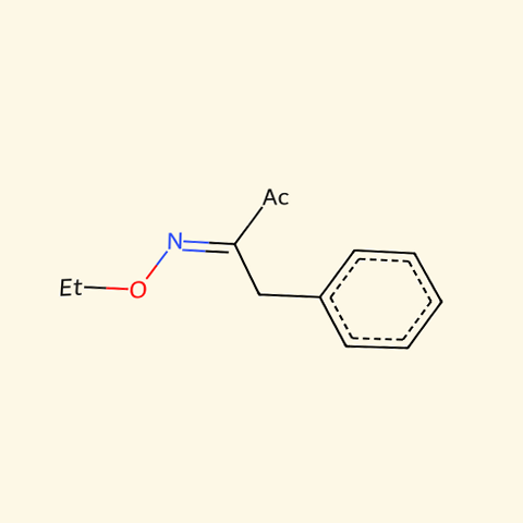 CCO/N=C(\Cc1ccccc1)C(C)=O